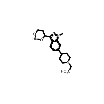 Cn1nc(C2CCONO2)c2ccc(C3CCN(CC(=O)O)CC3)cc21